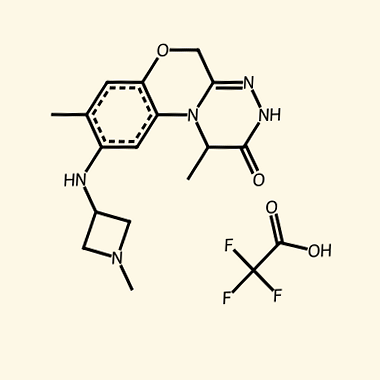 Cc1cc2c(cc1NC1CN(C)C1)N1C(=NNC(=O)C1C)CO2.O=C(O)C(F)(F)F